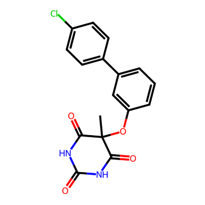 CC1(Oc2cccc(-c3ccc(Cl)cc3)c2)C(=O)NC(=O)NC1=O